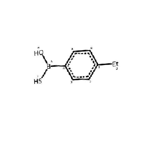 CCc1ccc(B(O)S)cc1